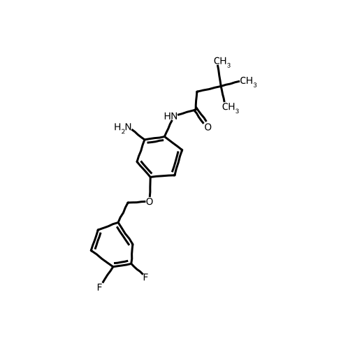 CC(C)(C)CC(=O)Nc1ccc(OCc2ccc(F)c(F)c2)cc1N